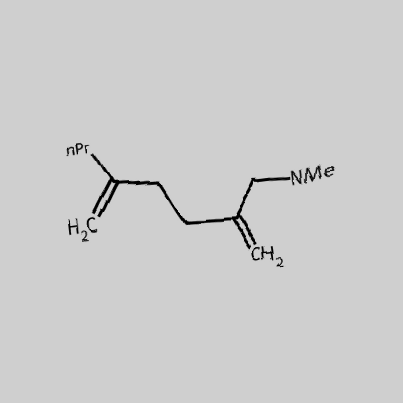 C=C(CCC)CCC(=C)CNC